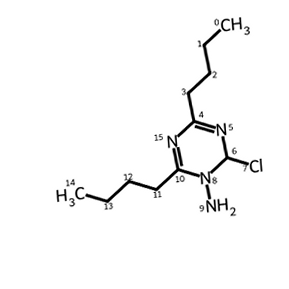 CCCCC1=NC(Cl)N(N)C(CCCC)=N1